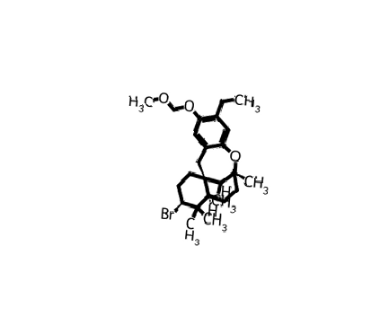 CCc1cc2c(cc1OCOC)C[C@]13CC[C@H](Br)C(C)(C)[C@@H]1CC[C@@](C)(O2)[C@H]3C